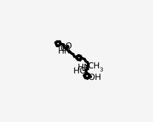 CC(CCCc1ccc(CCCCNC(=O)OCc2ccccc2)cc1)NC[C@H](O)c1cccc(O)c1